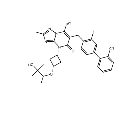 CCCc1c(Cc2ccc(-c3ccccc3C#N)cc2F)c(=O)n([C@H]2C[C@@H](OC(C)C(C)(C)O)C2)c2nc(C)nn12